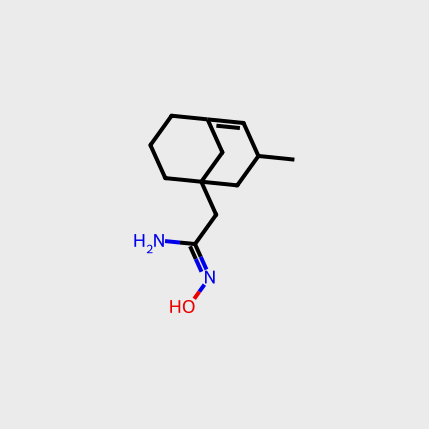 CC1C=C2CCCC(C/C(N)=N/O)(C2)C1